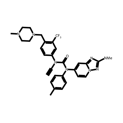 C#CN(C(=O)N(c1ccc(C)cc1)c1ccn2nc(NC)nc2c1)c1ccc(CN2CCN(C)CC2)c(C(F)(F)F)c1